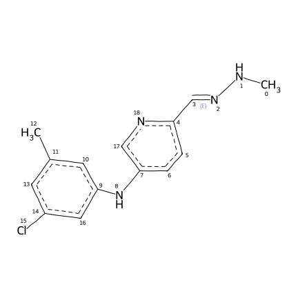 CN/N=C/c1ccc(Nc2cc(C)cc(Cl)c2)cn1